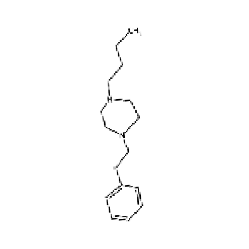 CCCCN1CCN(C[C]c2ccccc2)CC1